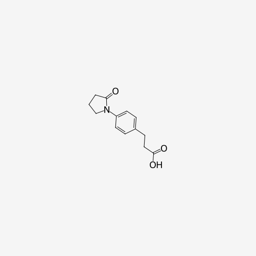 O=C(O)CCc1ccc(N2CCCC2=O)cc1